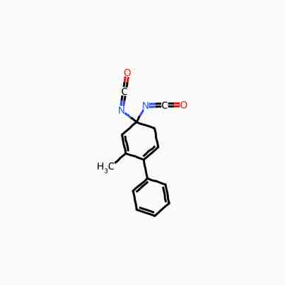 CC1=CC(N=C=O)(N=C=O)CC=C1c1ccccc1